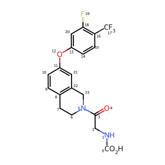 O=C(O)NCC(=O)N1CCc2ccc(Oc3ccc(C(F)(F)F)c(F)c3)cc2C1